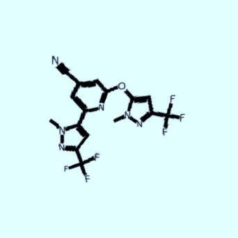 Cn1nc(C(F)(F)F)cc1Oc1cc(C#N)cc(-c2cc(C(F)(F)F)nn2C)n1